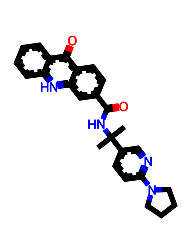 CC(C)(NC(=O)c1ccc2c(=O)c3ccccc3[nH]c2c1)c1ccc(N2CCCC2)nc1